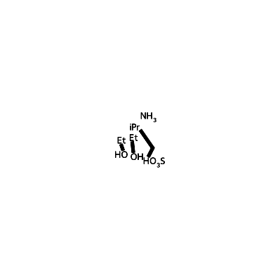 CC(C)CS(=O)(=O)O.CCO.CCO.N